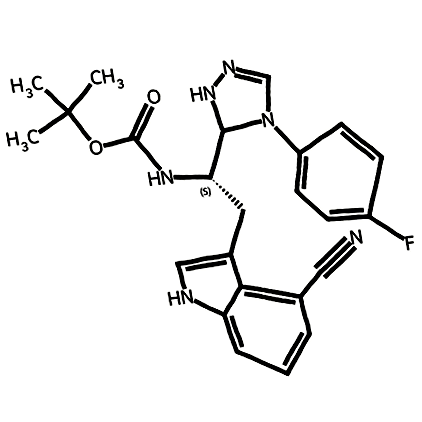 CC(C)(C)OC(=O)N[C@@H](Cc1c[nH]c2cccc(C#N)c12)C1NN=CN1c1ccc(F)cc1